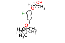 CC(C)(O)COc1cc(F)c2c(c1)CC(CO[Si](C)(C)C(C)(C)C)C2